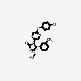 O=C1O[C@@H](CO)[C@H](c2cccc(C(F)(F)F)c2)N1c1cnc(Oc2ccc(Cl)cc2)cn1